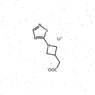 O=C([O-])CC1CN(c2ncns2)C1.[Li+]